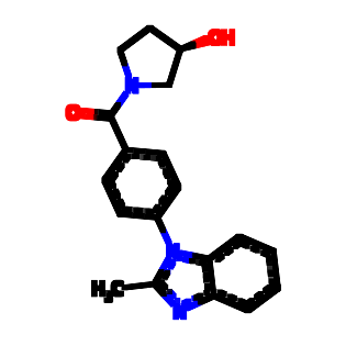 Cc1nc2ccccc2n1-c1ccc(C(=O)N2CC[C@@H](O)C2)cc1